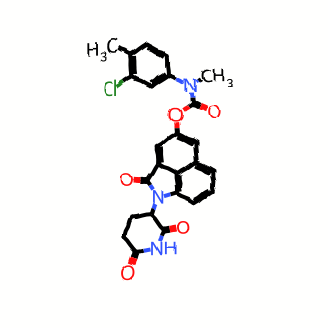 Cc1ccc(N(C)C(=O)Oc2cc3c4c(cccc4c2)N(C2CCC(=O)NC2=O)C3=O)cc1Cl